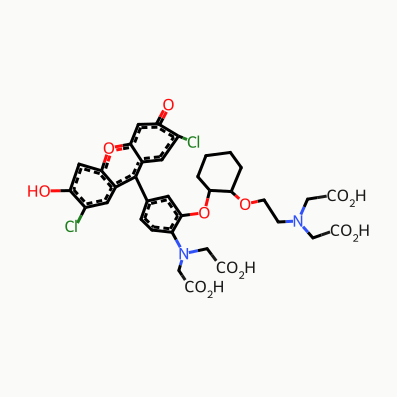 O=C(O)CN(CCOC1CCCCC1Oc1cc(-c2c3cc(Cl)c(=O)cc-3oc3cc(O)c(Cl)cc23)ccc1N(CC(=O)O)CC(=O)O)CC(=O)O